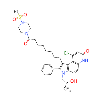 CCS(=O)(=O)N1CCN(C(=O)CCCCCCCc2c(-c3ccccc3)n(CC(O)C(F)(F)F)c3ccc4[nH]c(=O)cc(Cl)c4c23)CC1